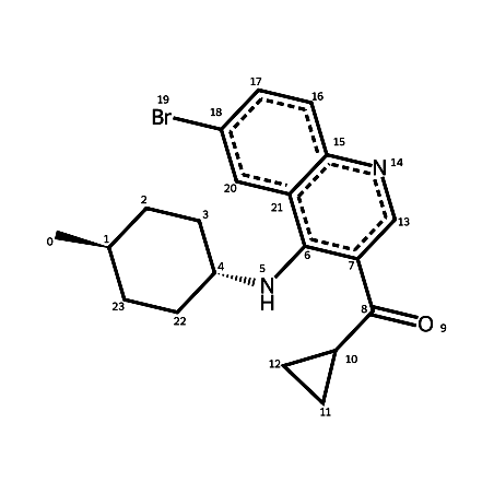 C[C@H]1CC[C@H](Nc2c(C(=O)C3CC3)cnc3ccc(Br)cc23)CC1